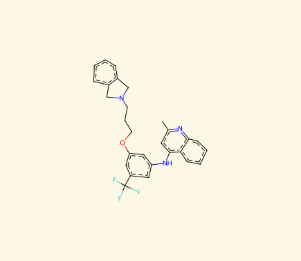 Cc1cc(Nc2cc(OCCCN3Cc4ccccc4C3)cc(C(F)(F)F)c2)c2ccccc2n1